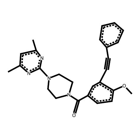 COc1ccc(C(=O)N2CCN(c3nc(C)cc(C)n3)CC2)cc1C#Cc1ccccc1